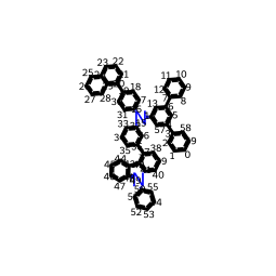 c1ccc(-c2cc(-c3ccccc3)cc(N(c3ccc(-c4cccc5ccccc45)cc3)c3cccc(-c4cccc5c4c4ccccc4n5-c4ccccc4)c3)c2)cc1